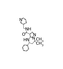 CC1(C)CC(c2ccccc2)Nc2c(C(=O)NCc3cccnc3)cnn21